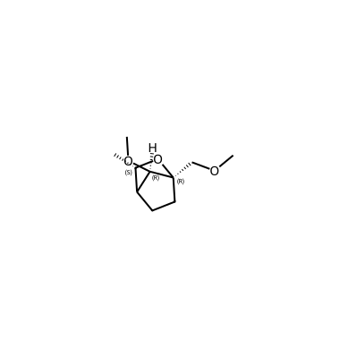 COC[C@@]12CCC([C@H](C)O1)[C@H]2OC